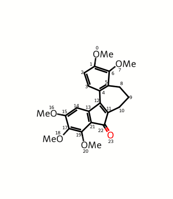 COc1ccc2c(c1OC)CCCC1=C2c2cc(OC)c(OC)c(OC)c2C1=O